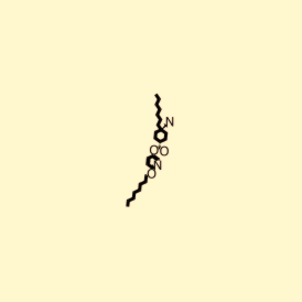 CCCCCCCCOc1ccc(OC(=O)[C@H]2CC[C@@](C#N)(CCCCCCC)CC2)cn1